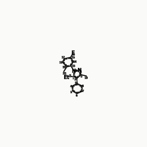 CCc1c(-c2ccccc2)c(C)nn1-c1cc(F)ccc1C